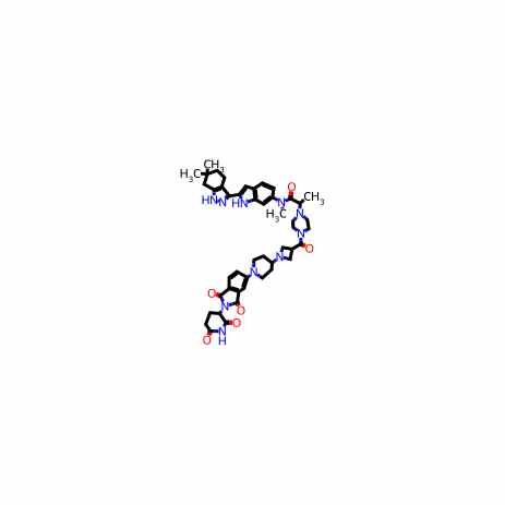 CC(C(=O)N(C)c1ccc2cc(-c3n[nH]c4c3CCC(C)(C)C4)[nH]c2c1)N1CCN(C(=O)C2CN(C3CCN(c4ccc5c(c4)C(=O)N(C4CCC(=O)NC4=O)C5=O)CC3)C2)CC1